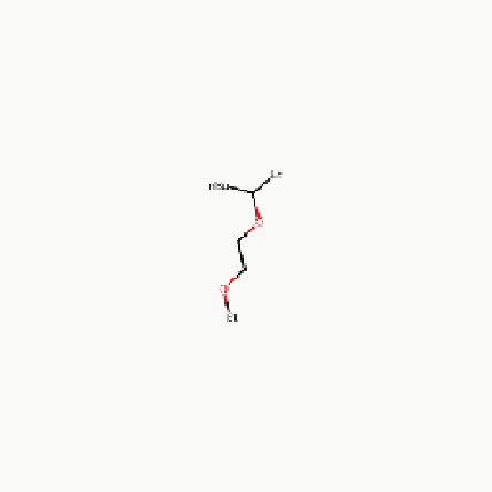 [CH2]CC(CCCC)OCCOCC